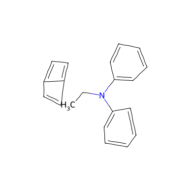 CCN(c1ccccc1)c1ccccc1.c1cc2ccc1-2